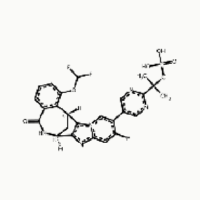 CC(C)(OP(=O)(O)O)c1ncc(-c2cn3c4c(nc3cc2F)[C@@H]2C[C@@H]4c3c(OC(F)F)cccc3C(=O)N2)cn1